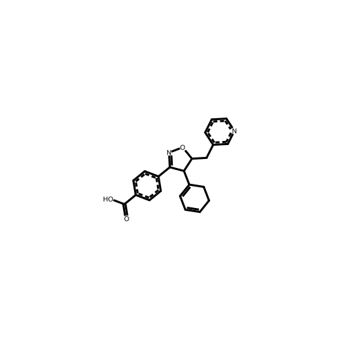 O=C(O)c1ccc(C2=NOC(Cc3cccnc3)C2C2=CC=CCC2)cc1